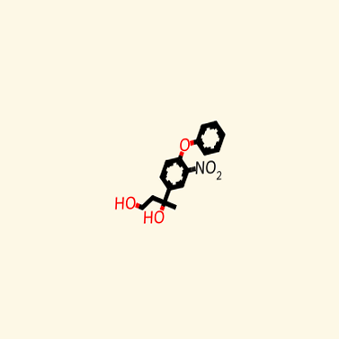 CC(O)(CCO)c1ccc(Oc2ccccc2)c([N+](=O)[O-])c1